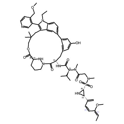 C=C(/C=C\C(=C/C)OC)[C@@H]1N[C@@H]1S(=O)(=O)N(C)CC(=O)N(C)[C@H](C(=O)N[C@H]1Cc2cc(O)cc(c2)-c2ccc3c(c2)c(c(-c2cnccc2COC)n3CC)CC(C)(C)COC(=O)[C@@H]2CCCN(N2)C1=O)C(C)C